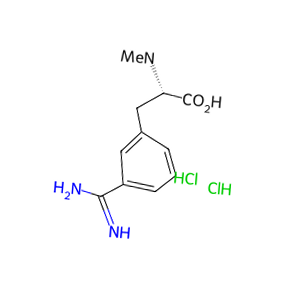 CN[C@@H](Cc1cccc(C(=N)N)c1)C(=O)O.Cl.Cl